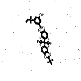 CCC(C)(C)c1cc(O)cc(-c2nc3cc(C(c4ccc5oc(C(C)(C)C)nc5c4)(C(F)(F)F)C(F)(F)F)ccc3o2)c1